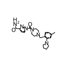 Cc1ccc(CN2CCN(C(=O)n3ccc(C(N)=O)n3)CC2)c(N2CCCC2)c1